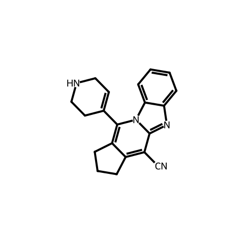 N#Cc1c2c(c(C3=CCNCC3)n3c1nc1ccccc13)CCC2